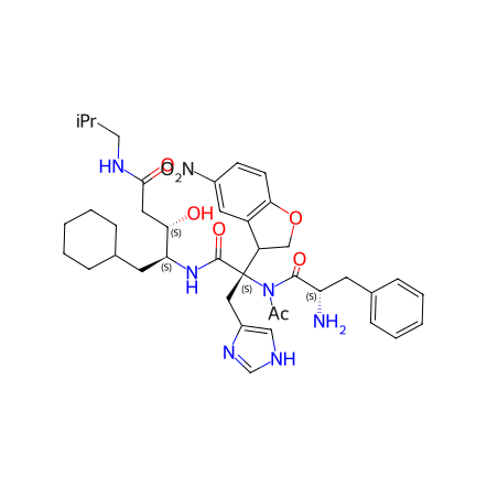 CC(=O)N(C(=O)[C@@H](N)Cc1ccccc1)[C@](Cc1c[nH]cn1)(C(=O)N[C@@H](CC1CCCCC1)[C@@H](O)CC(=O)NCC(C)C)C1COc2ccc([N+](=O)[O-])cc21